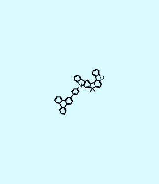 CC1(C)c2cc3c(cc2-c2c1ccc1oc4ccccc4c21)c1ccccc1n3-c1ccc(-c2ccc3c4ccccc4c4ccccc4c3c2)cc1